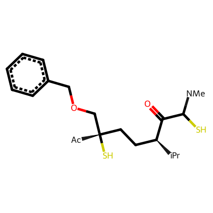 CNC(S)C(=O)[C@H](CC[C@](S)(COCc1ccccc1)C(C)=O)C(C)C